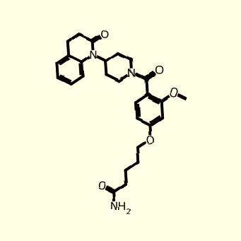 COc1cc(OCCCCC(N)=O)ccc1C(=O)N1CCC(N2C(=O)CCc3ccccc32)CC1